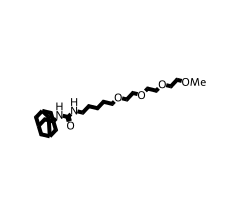 COCCOCCOCCOCCCCCNC(=O)NC12CC3CC(CC(C3)C1)C2